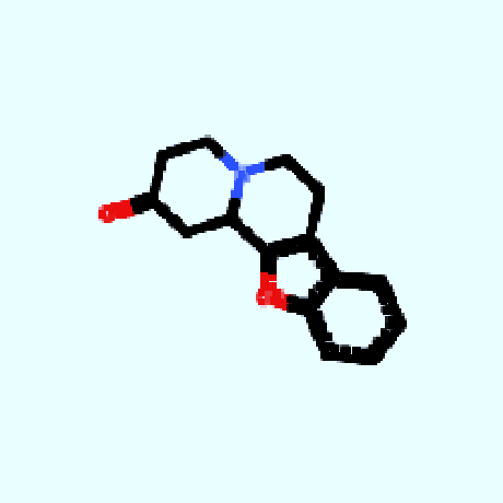 O=C1CCN2CCc3c(oc4ccccc34)C2C1